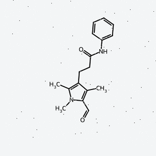 Cc1c(CCC(=O)Nc2ccccc2)c(C)n(C)c1C=O